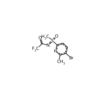 Cc1nc(S(C)(=O)=NC(=O)C(F)(F)F)ccc1Br